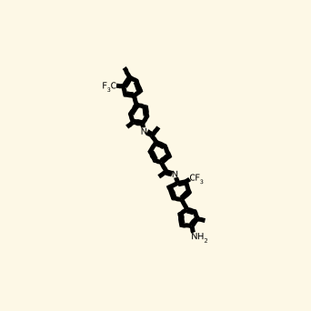 C/C(=N\c1ccc(-c2ccc(C)c(C(F)(F)F)c2)cc1C)c1ccc(/C(C)=N/c2ccc(-c3ccc(N)c(C)c3)cc2C(F)(F)F)cc1